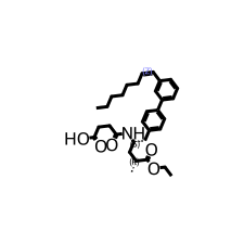 CCCCCC/C=C\c1cccc(-c2ccc(C[C@H](C[C@@H](C)C(=O)OCC)NC(=O)CCC(=O)O)cc2)c1